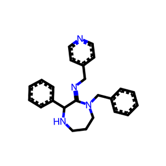 c1ccc(CN2CCCNC(c3ccccc3)/C2=N/Cc2ccncc2)cc1